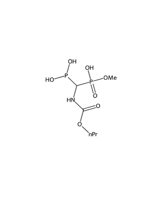 CCCOC(=O)NC(P(O)O)P(=O)(O)OC